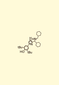 CC(C)(C)c1cc(-c2c[nH]c([C@@H](NCC3CCCCC3)C3CCCCC3)n2)cc(C(C)(C)C)c1O